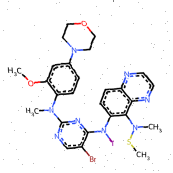 COc1cc(N2CCOCC2)ccc1N(C)c1ncc(Br)c(N(I)c2ccc3nccnc3c2N(C)SC)n1